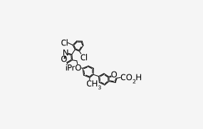 Cc1cc(OCc2c(-c3c(Cl)cccc3Cl)noc2C(C)C)ccc1-c1ccc2cc(C(=O)O)oc2c1